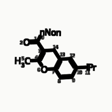 CCCCCCCCCC(=O)C1=C(C)Oc2ccc(C(C)C)cc2C1